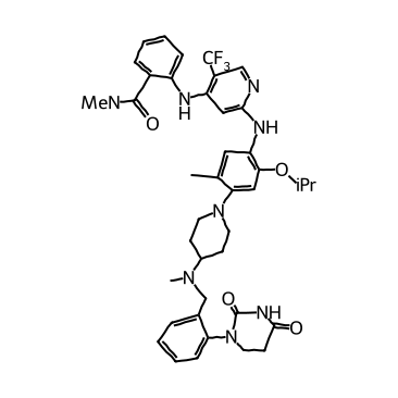 CNC(=O)c1ccccc1Nc1cc(Nc2cc(C)c(N3CCC(N(C)Cc4ccccc4N4CCC(=O)NC4=O)CC3)cc2OC(C)C)ncc1C(F)(F)F